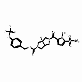 Cn1c(C(=O)N2CC3CN(C(=O)OCc4ccc(OC(F)(F)F)cc4)C[C@@H]3C2)ccc1S(N)(=O)=O